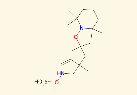 C=CC(C)(CNOS(=O)(=O)O)CC(C)(C)ON1C(C)(C)CCCC1(C)C